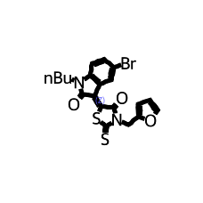 CCCCN1C(=O)/C(=C2\SC(=S)N(Cc3ccco3)C2=O)c2cc(Br)ccc21